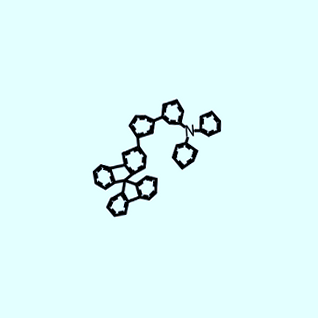 c1ccc(N(c2ccccc2)c2cccc(-c3cccc(-c4ccc5c(c4)-c4ccccc4C54c5ccccc5-c5ccccc54)c3)c2)cc1